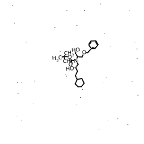 CC(C)(C)OC(=O)N(C[C@@H](O)CCC1CCCCC1)C(CO)COCc1ccccc1